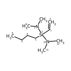 C=C[Si](CCCC)(N(C)C)N(C)C